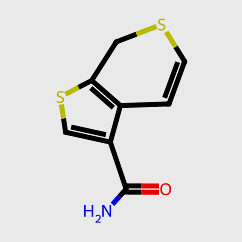 NC(=O)c1csc2c1C=CSC2